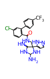 N=C1NC(N)NC1(CNC(=O)c1ccc(Cl)cc1-c1ccc(C(F)(F)F)cc1)c1ccn[nH]1